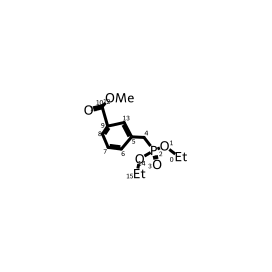 CCOP(=O)(Cc1cccc(C(=O)OC)c1)OCC